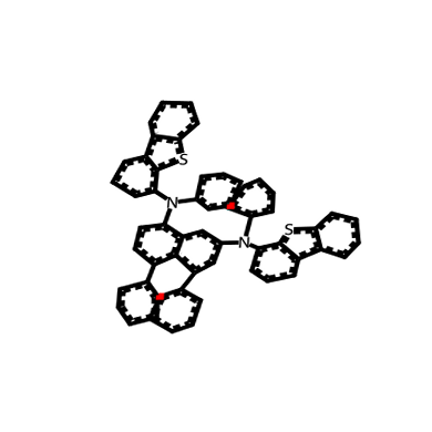 c1ccc(-c2ccc(N(c3ccccc3)c3cccc4c3sc3ccccc34)c3cc(N(c4ccccc4)c4cccc5c4sc4ccccc45)cc(-c4ccccc4)c23)cc1